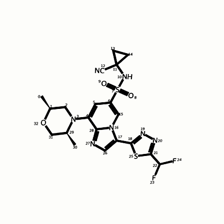 C[C@H]1CN(c2cc(S(=O)(=O)NC3(C#N)CC3)cn3c(-c4nnc(C(F)F)s4)cnc23)[C@@H](C)CO1